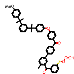 COc1ccc(C(C)(C)c2cccc(C(C)(C)c3ccc(Oc4ccc(C(=O)c5ccc(-c6ccc(C)c(C(=O)c7cccc(SOOO)c7)c6)cc5)cc4)cc3)c2)cc1